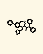 O=C(C1CNCc2cc(-c3ccccc3)ccc2N1Cc1c[nH]cn1)N(c1ccccc1)c1ccccc1